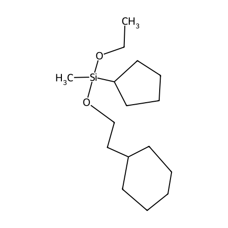 CCO[Si](C)(OCCC1CCCCC1)C1CCCC1